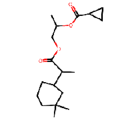 CC(COC(=O)C(C)C1CCCC(C)(C)C1)OC(=O)C1CC1